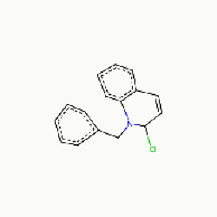 ClC1C=Cc2ccccc2N1Cc1ccccc1